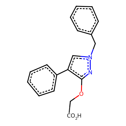 O=C(O)COc1nn(Cc2ccccc2)cc1-c1ccccc1